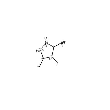 CC(C)C1NNC(C)N1C